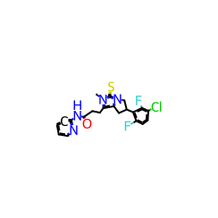 Cn1c(CCC(=O)Nc2ccccn2)c2n(c1=S)CC(c1c(F)ccc(Cl)c1F)C2